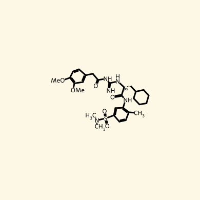 COc1ccc(CC(=O)NC(=N)N[C@H](CC2CCCCC2)C(=O)Nc2cc(S(=O)(=O)N(C)C)ccc2C)cc1OC